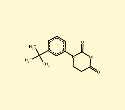 CC(C)(C)c1cccc(N2CCC(=O)NC2=O)c1